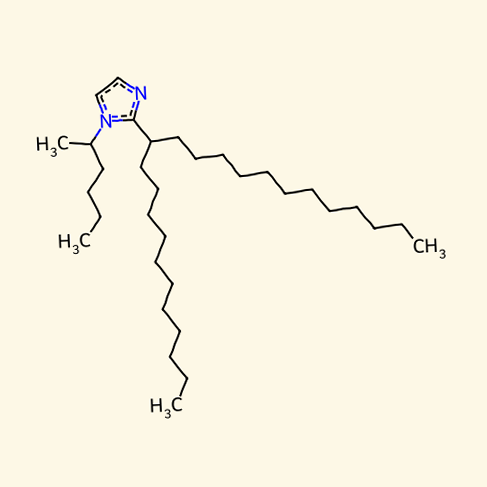 CCCCCCCCCCCCC(CCCCCCCCCCC)c1nccn1C(C)CCCC